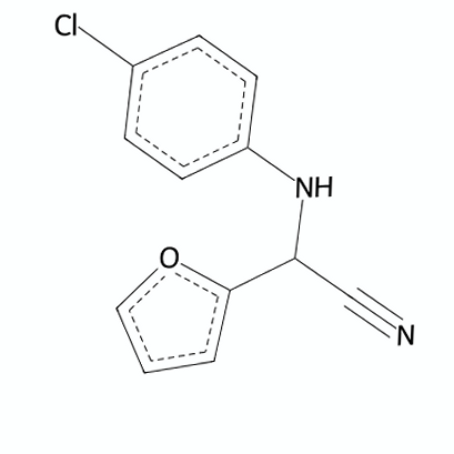 N#CC(Nc1ccc(Cl)cc1)c1ccco1